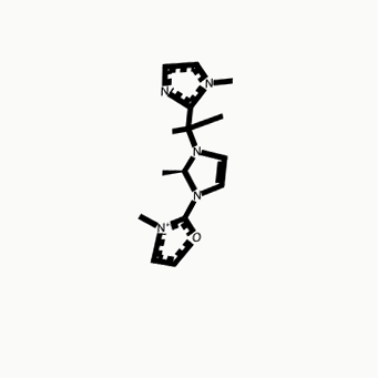 C[C@@H]1N(c2occ[n+]2C)C=CN1C(C)(C)c1nccn1C